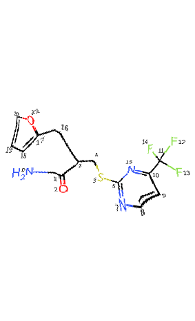 NC(=O)C(CSc1nccc(C(F)(F)F)n1)Cc1ccco1